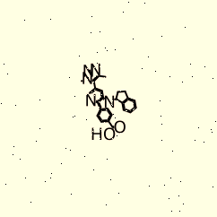 Cc1nnn(C)c1-c1cnc2c3ccc(C(=O)O)cc3n(C3CCc4ccccc43)c2c1